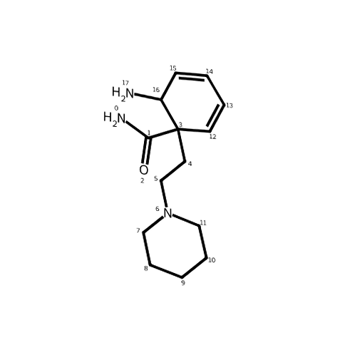 NC(=O)C1(CCN2CCCCC2)C=CC=CC1N